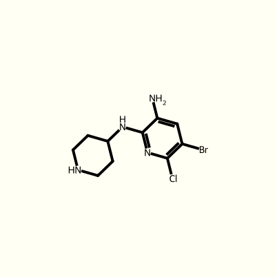 Nc1cc(Br)c(Cl)nc1NC1CCNCC1